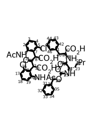 CC(=O)Nc1cccc(Cl)c1C(C(=O)O)C(=O)C(C(=O)O)c1c(Cl)cccc1NC(C)=O.CC(C)C[C@H](NC(=O)OCc1ccccc1)C(=O)N[C@@H](Cc1ccccc1)C(=O)O